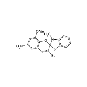 CCC1=Cc2cc([N+](=O)[O-])cc(OC)c2OC12Sc1ccccc1N2C